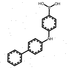 OB(O)c1ccc(Nc2ccc(-c3ccccc3)cc2)cc1